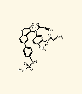 C#CC(=O)N(c1ccc(C)c(NC(=O)C=C)c1)c1c(C)cnc2ccc(-c3ccc(NS(C)(=O)=O)cc3)cc12